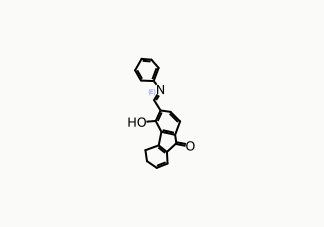 O=C1C2=C(CCC=C2)c2c1ccc(/C=N/c1ccccc1)c2O